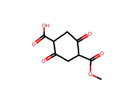 COC(=O)C1CC(=O)C(C(=O)O)CC1=O